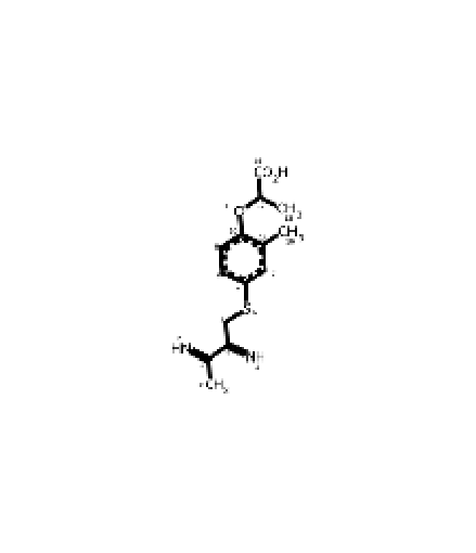 CC(=N)C(=N)CSc1ccc(OC(C)C(=O)O)c(C)c1